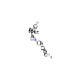 C=COc1ccc(C2=CC=C(/C=C/C(=O)CSc3nnc(-c4ccc(F)cc4)n3CC)C=C=N2)cc1